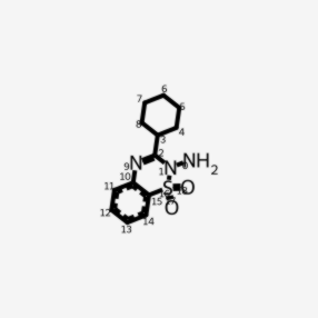 NN1C(C2CCCCC2)=Nc2ccccc2S1(=O)=O